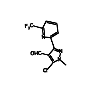 Cn1nc(-c2cccc(C(F)(F)F)n2)c(C=O)c1Cl